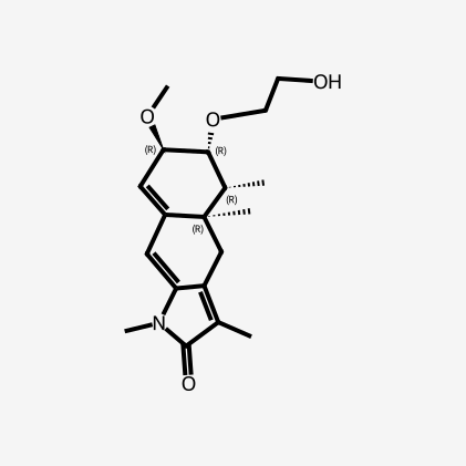 CO[C@@H]1C=C2C=C3C(=C(C)C(=O)N3C)C[C@]2(C)[C@@H](C)[C@H]1OCCO